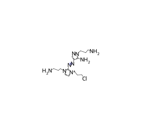 NCCCn1cc[n+](CCCCl)c1/N=N/c1cnn(CCCN)c1N